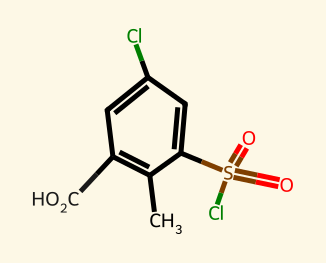 Cc1c(C(=O)O)cc(Cl)cc1S(=O)(=O)Cl